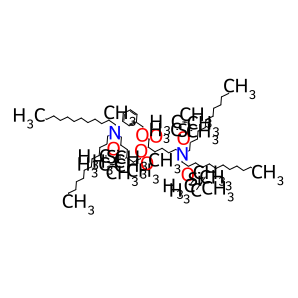 CCCCCCCCCCC(C)CN(CCCC(C)C(C)C(=O)OC(C(=O)OCc1ccccc1)C(C)CCCN(CC(CCCCCCCCCC)O[Si](C)(C)C(C)(C)C)CC(CCCCCCCCCC)O[Si](C)(C)C(C)(C)C)CC(CCCCCCCCCC)O[Si](C)(C)C(C)(C)C